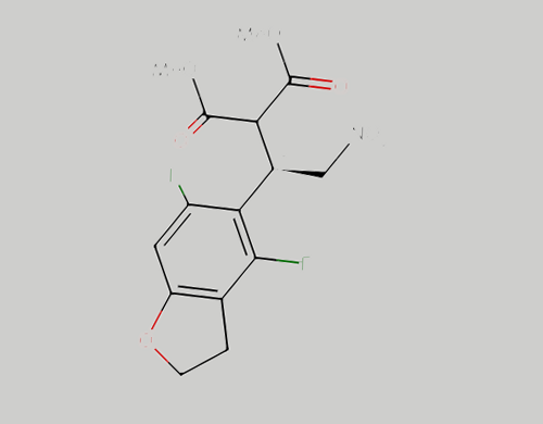 COC(=O)C(C(=O)OC)[C@@H](C[N+](=O)[O-])c1c(F)cc2c(c1F)CCO2